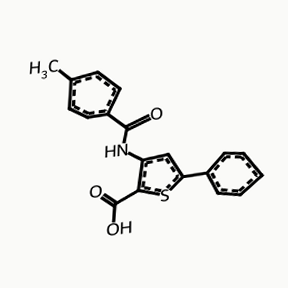 Cc1ccc(C(=O)Nc2cc(-c3ccccc3)sc2C(=O)O)cc1